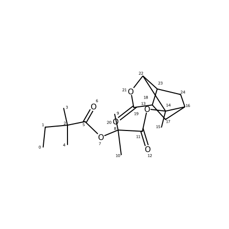 CCC(C)(C)C(=O)OC(C)(C)C(=O)OC1(C)C2CC3C(=O)OC1C3C2